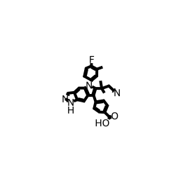 Cc1cc(-n2c(C(C)(C)CC#N)c(-c3ccc(C(=O)O)cc3)c3cc4[nH]ncc4cc32)ccc1F